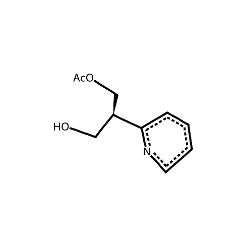 CC(=O)OC[C@H](CO)c1ccccn1